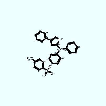 O=S(=O)([O-])c1ccc(C(F)(F)F)cc1.c1ccc(-c2csc([S+](c3ccccc3)c3ccccc3)c2)cc1